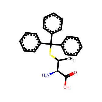 CC(SC(c1ccccc1)(c1ccccc1)c1ccccc1)[C@H](N)C(=O)O